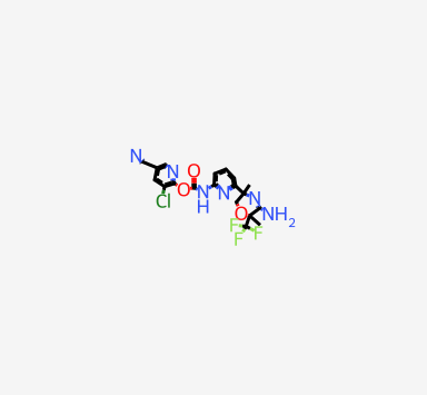 CC1(c2cccc(NC(=O)Oc3ncc(C#N)cc3Cl)n2)COC(C)(C(F)(F)F)C(N)=N1